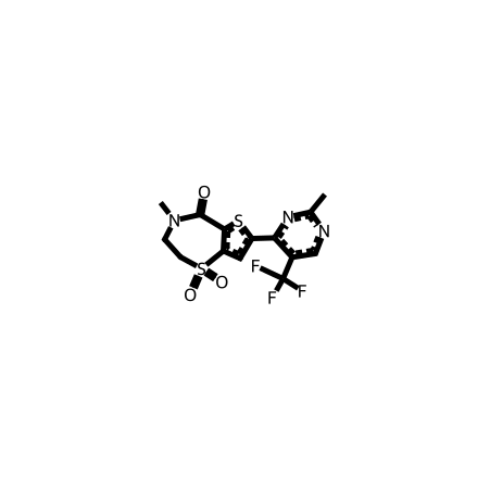 Cc1ncc(C(F)(F)F)c(-c2cc3c(s2)C(=O)N(C)CCS3(=O)=O)n1